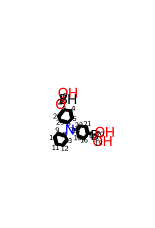 OBOc1ccc(N(c2ccccc2)c2ccc(B(O)O)cc2)cc1